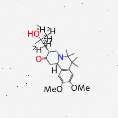 [2H]C([2H])([2H])C(C)(O)C([2H])([2H])[C@H]1CN2[C@@H](CC1=O)c1cc(OC)c(OC)cc1C(C)(C)C2(C)C